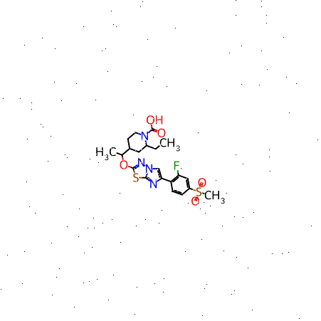 CCC1CC(C(C)Oc2nn3cc(-c4ccc(S(C)(=O)=O)cc4F)nc3s2)CCN1C(=O)O